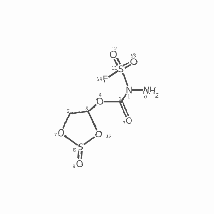 NN(C(=O)OC1COS(=O)O1)S(=O)(=O)F